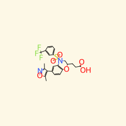 Cc1noc(C)c1-c1ccc2c(c1)N(S(=O)(=O)c1cccc(C(F)(F)F)c1)CC(CCC(=O)O)O2